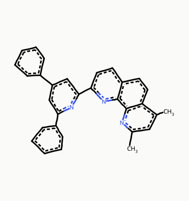 Cc1cc(C)c2ccc3ccc(-c4cc(-c5ccccc5)cc(-c5ccccc5)n4)nc3c2n1